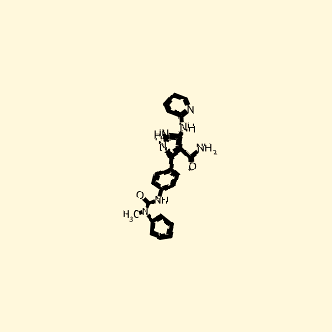 CN(C(=O)Nc1ccc(-c2n[nH]c(Nc3ccccn3)c2C(N)=O)cc1)c1ccccc1